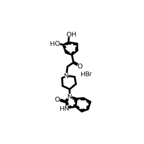 Br.O=C(CN1CCC(n2c(=O)[nH]c3ccccc32)CC1)c1ccc(O)c(O)c1